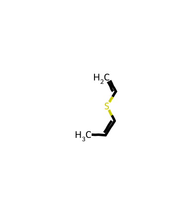 C=CS/C=C\C